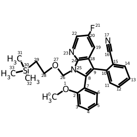 COc1ccccc1-c1c(-c2ccccc2C#N)c2cc(F)cnc2n1COCC[Si](C)(C)C